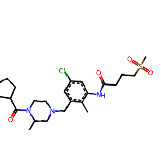 Cc1c(CN2CCN(C(=O)C3CCCC3)C(C)C2)cc(Cl)cc1NC(=O)CCCS(C)(=O)=O